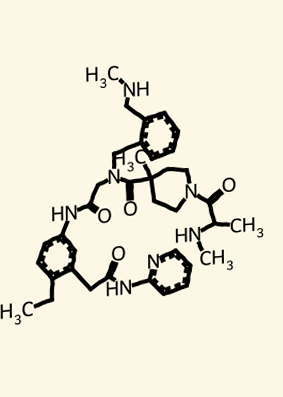 CCc1ccc(NC(=O)CN(Cc2ccccc2CNC)C(=O)C2(C)CCN(C(=O)C(C)NC)CC2)cc1CC(=O)Nc1ccccn1